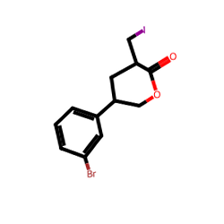 O=C1OCC(c2cccc(Br)c2)CC1CI